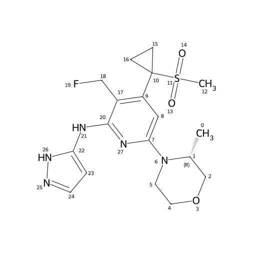 C[C@@H]1COCCN1c1cc(C2(S(C)(=O)=O)CC2)c(CF)c(Nc2ccn[nH]2)n1